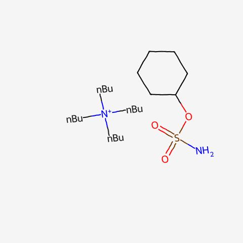 CCCC[N+](CCCC)(CCCC)CCCC.NS(=O)(=O)OC1CCCCC1